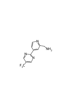 NCc1cc(-c2ncc(C(F)(F)F)cn2)ccn1